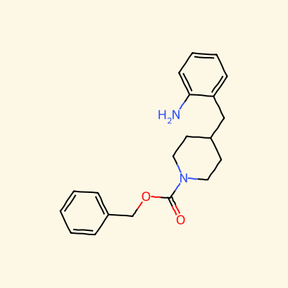 Nc1ccccc1CC1CCN(C(=O)OCc2ccccc2)CC1